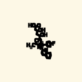 CC(C)c1nn(-c2ccc3ccccc3n2)c(-c2ccc(F)cc2)c1/C=C/C(O)CC(O)CC(=O)O